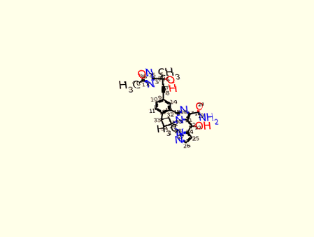 Cc1nc([C@](C)(O)C#Cc2ccc3c(c2)-c2nc(C(N)=O)c(C(O)c4ccnn4C)n2C2CC3C2)no1